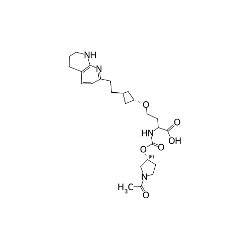 CC(=O)N1CC[C@@H](OC(=O)NC(CCO[C@H]2C[C@H](CCc3ccc4c(n3)NCCC4)C2)C(=O)O)C1